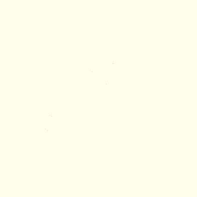 c1ccc(-c2nc(-c3ccc4c(c3)cc(-c3ccccc3)c3c(-c5ccccc5)nn(-c5ccccc5)c34)nc(-c3cccc4c3sc3ccccc34)n2)cc1